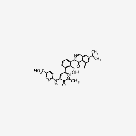 C=C(C)c1cc(F)c2c(=O)n(-c3cccc(-c4cc(Nc5ccc(C(=O)O)cn5)c(=O)n(C)n4)c3CO)ncc2c1